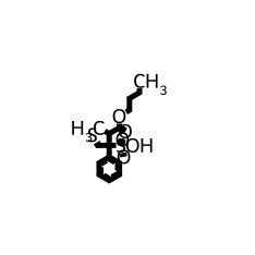 CCCCOC(=O)C(C)C(C=S)(c1ccccc1)S(=O)(=O)O